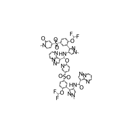 Cn1cc(NC(=O)c2cnn3cccnc23)c(-c2cc(S(=O)(=O)c3ccc(OC(Nc4cn(C)nc4-c4cc(S(=O)(=O)c5ccn(C)c(=O)c5)ccc4OC(F)F)c4cnn5cccnc45)nc3)ccc2OC(F)F)n1